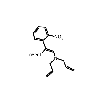 C=CCN(C=C(CCCCC)c1ccccc1[N+](=O)[O-])CC=C